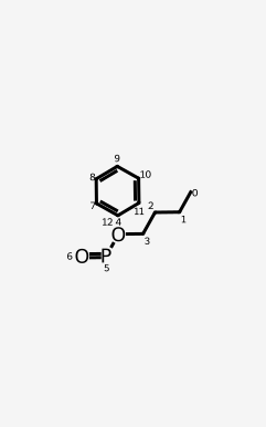 CCCCOP=O.c1ccccc1